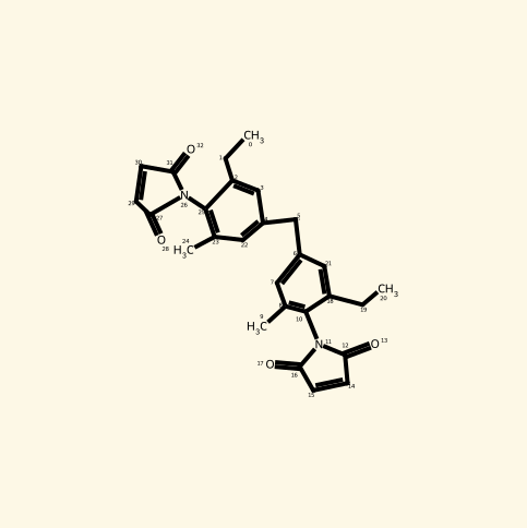 CCc1cc([CH]c2cc(C)c(N3C(=O)C=CC3=O)c(CC)c2)cc(C)c1N1C(=O)C=CC1=O